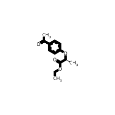 CCOC(=O)[C@@H](C)Oc1ccc(C(C)=O)cc1